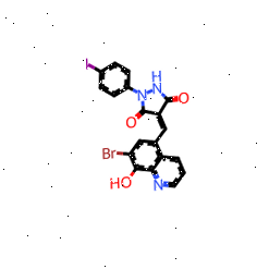 O=C1NN(c2ccc(I)cc2)C(=O)C1=Cc1cc(Br)c(O)c2ncccc12